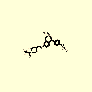 COc1ccc(C2CN(C)Cc3cc(OCC4CCN(C(=O)C(F)(F)F)CC4)ccc32)cc1